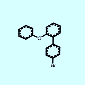 Brc1ccc(-c2cc[c]cc2Oc2ccccc2)cc1